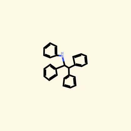 c1ccc(N[C](c2ccccc2)C(c2ccccc2)c2ccccc2)cc1